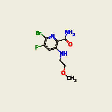 COCCNc1cc(F)c(Br)nc1C(N)=O